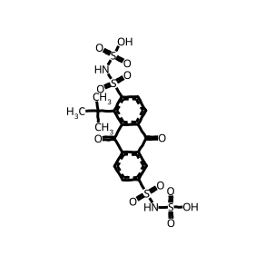 CC(C)(C)c1c(S(=O)(=O)NS(=O)(=O)O)ccc2c1C(=O)c1ccc(S(=O)(=O)NS(=O)(=O)O)cc1C2=O